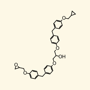 OC(COc1ccc(Cc2ccc(OCC3CC3)cc2)cc1)COc1ccc(Cc2ccc(OCC3CO3)cc2)cc1